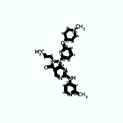 C=CCn1c(=O)c2cnc(Nc3ccnc(C)c3)nc2n1-c1cccc(OC2CCN(C)CC2)n1